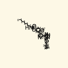 CCCCCCCCNC(=O)Oc1ccc(OC)c(-c2cncc(-c3nnnn3COCC[Si](C)(C)C)c2)c1